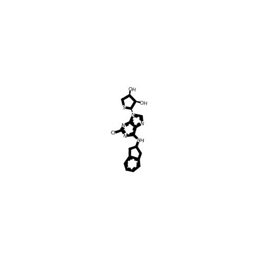 O[C@@H]1[C@H](O)CS[C@H]1n1cnc2c(NC3Cc4ccccc4C3)nc(Cl)nc21